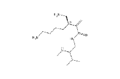 C=C(C(=O)NCC(NC)C(C)C)[C@H](CN)CCCCN